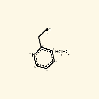 CC(C)Cc1ccccn1.Cl.Cl